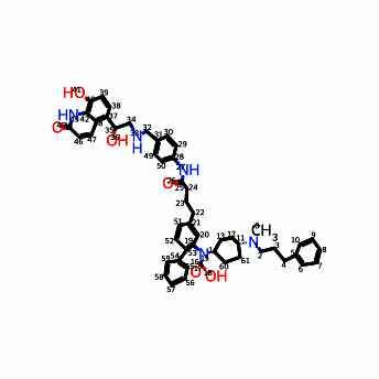 CN(CCCc1ccccc1)[C@H]1CC[C@H](N(C(=O)O)c2cc(CCCC(=O)Nc3ccc(CNCC(O)c4ccc(O)c5[nH]c(=O)ccc45)cc3)ccc2-c2ccccc2)CC1